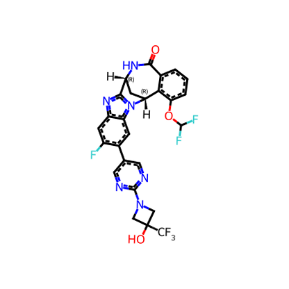 O=C1N[C@@H]2C[C@H](c3c(OC(F)F)cccc31)n1c2nc2cc(F)c(-c3cnc(N4CC(O)(C(F)(F)F)C4)nc3)cc21